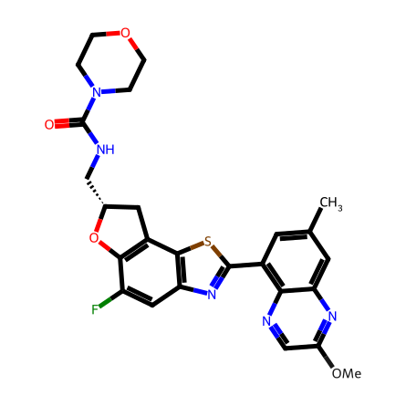 COc1cnc2c(-c3nc4cc(F)c5c(c4s3)C[C@@H](CNC(=O)N3CCOCC3)O5)cc(C)cc2n1